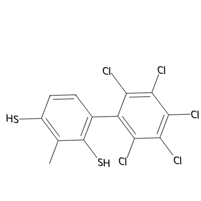 Cc1c(S)ccc(-c2c(Cl)c(Cl)c(Cl)c(Cl)c2Cl)c1S